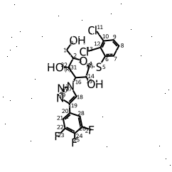 OCC1O[C@H](Sc2cccc(Cl)c2Cl)C(O)C(n2cc(-c3cc(F)c(F)c(F)c3)nn2)[C@H]1O